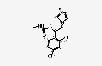 CNC(=O)OC(Cn1ccnc1)c1ccc(Cl)cc1Cl